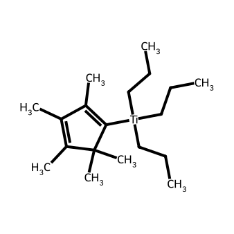 CC[CH2][Ti]([CH2]CC)([CH2]CC)[C]1=C(C)C(C)=C(C)C1(C)C